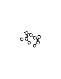 CC1CCC2C3CCC(C4=CC5C6C=CCCC6N(C6=CC(C7=CC=CCC7)CC=C6)C5CC4)=CC3N(C3=CC(C4C=CC=CC4)=CC(C4C=CCCC4)C3)C2C1